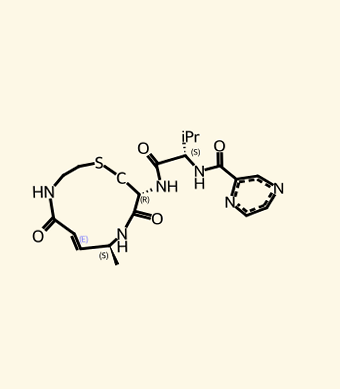 CC(C)[C@H](NC(=O)c1cnccn1)C(=O)N[C@H]1CSCCNC(=O)/C=C/[C@H](C)NC1=O